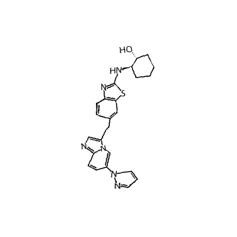 O[C@@H]1CCCC[C@H]1Nc1nc2ccc(Cc3cnc4ccc(-n5cccn5)cn34)cc2s1